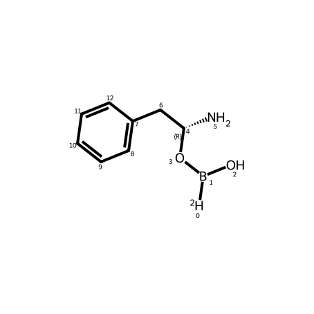 [2H]B(O)O[C@@H](N)Cc1ccccc1